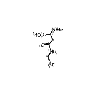 CN[C@@H](CC(=O)NCC(C)=O)C(=O)O